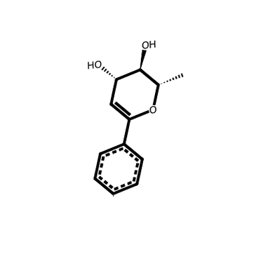 C[C@@H]1OC(c2cc[c]cc2)=C[C@H](O)[C@H]1O